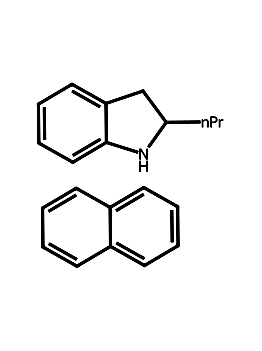 CCCC1Cc2ccccc2N1.c1ccc2ccccc2c1